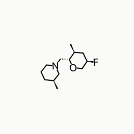 C[C@H]1CCCN(C[C@H]2OC[C@H](F)C[C@@H]2C)C1